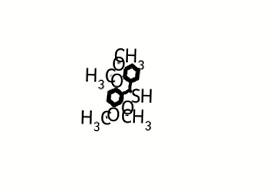 COc1cccc(C(S)c2cccc(OC)c2OC)c1OC